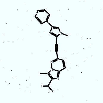 Cc1c(C(F)F)nc2ccc(C#Cc3nc(-c4ccccc4)cn3C)nn12